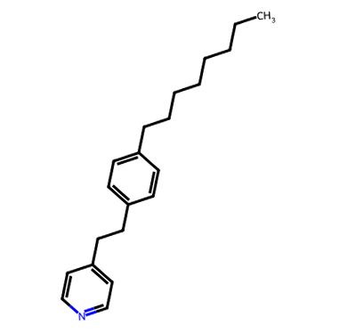 CCCCCCCCc1ccc(CCc2ccncc2)cc1